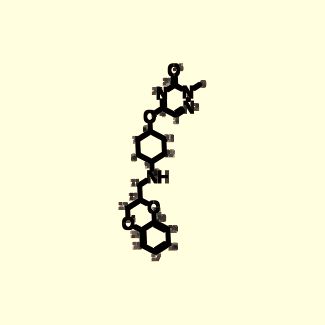 Cn1ncc(OC2CCC(NCC3COc4ccccc4O3)CC2)nc1=O